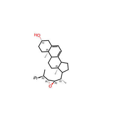 CC(C)[C@@H](C)[C@H]1O[C@@H]1[C@@H](C)C1CCC2C3=CC=C4C[C@@H](O)CC[C@]4(C)C3CC[C@@]21C